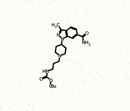 Cc1nn(C2CCN(CCCNC(=O)OC(C)(C)C)CC2)c2cc(C(N)=O)ccc12